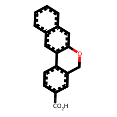 O=C(O)c1ccc2c(c1)COc1cc3ccccc3cc1-2